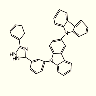 C1=CCCC(C2=NC(c3cccc(-n4c5ccccc5c5cc(-n6c7ccccc7c7ccccc76)ccc54)c3)NN2)=C1